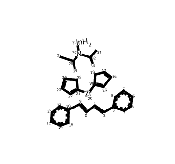 C(C=Cc1ccccc1)=Cc1ccccc1.C1=CC[C]([Zr][C]2=CC=CC2)=C1.CC(C)[N]([InH2])C(C)C